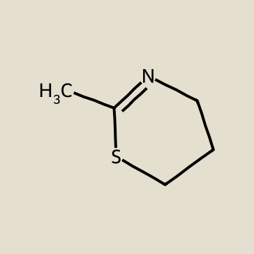 CC1=NCCCS1